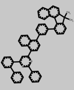 CC1(C)c2cccc(-c3cccc(-c4ccc(-c5cc(-c6ccccc6-c6ccccc6)nc(-c6ccccc6)n5)c5ccccc45)c3)c2-c2c1ccc1ccccc21